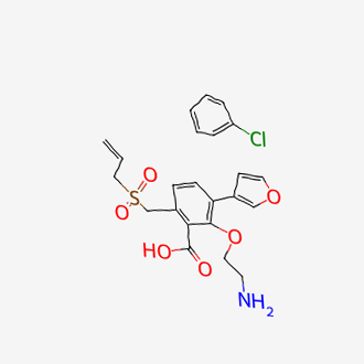 C=CCS(=O)(=O)Cc1ccc(-c2ccoc2)c(OCCN)c1C(=O)O.Clc1ccccc1